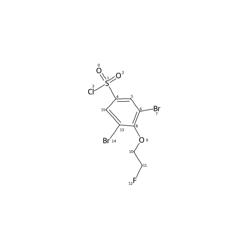 O=S(=O)(Cl)c1cc(Br)c(OCCF)c(Br)c1